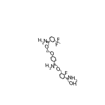 CC(F)(F)c1cccc([C@H](N)COC2CC2Oc2ccc([C@H](N)COCc3cccc([C@H](N)CO)c3F)cc2)c1